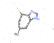 CC(C)(C)c1cc(F)c2nc[nH]c2c1